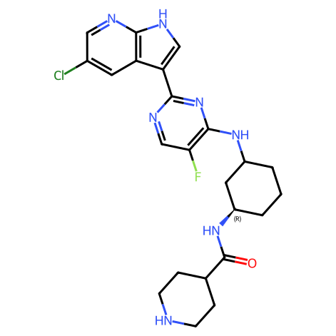 O=C(N[C@@H]1CCCC(Nc2nc(-c3c[nH]c4ncc(Cl)cc34)ncc2F)C1)C1CCNCC1